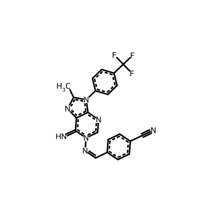 Cc1nc2c(=N)n(/N=C\c3ccc(C#N)cc3)cnc2n1-c1ccc(C(F)(F)F)cc1